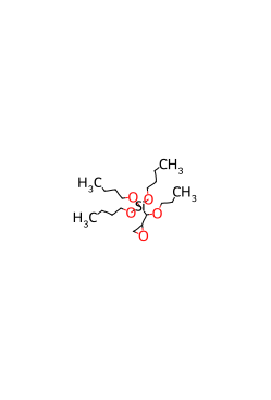 CCCCO[Si](OCCCC)(OCCCC)C(OCCC)C1CO1